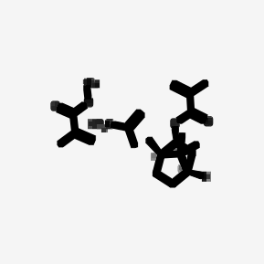 C=C(C)C(=O)O.C=C(C)C(=O)OC(C)(C)C.C=C(C)C(=O)O[C@H]1C[C@@H]2CC[C@@]1(C)C2(C)C